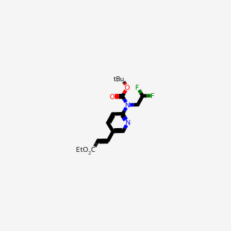 CCOC(=O)/C=C/c1ccc(N(CC(F)F)C(=O)OC(C)(C)C)nc1